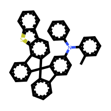 Cc1ccccc1N(c1ccccc1)c1ccc2c(c1)C1(c3ccccc3-2)c2ccccc2-c2c1ccc1c2sc2ccccc21